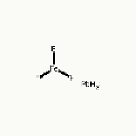 [F][Fe]([F])[F].[PbH2]